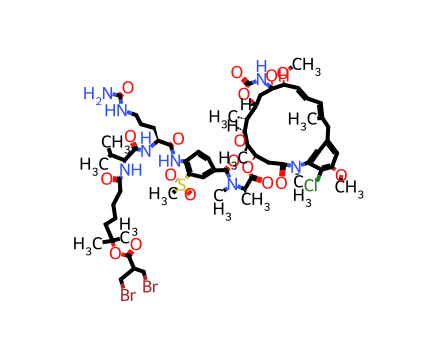 COc1cc2cc(c1Cl)N(C)C(=O)C[C@H](OC(=O)[C@H](C)N(C)C(=O)c1ccc(NC(=O)[C@H](CCCNC(N)=O)NC(=O)[C@@H](NC(=O)CCCCC(C)(C)OC(=O)C(CBr)CBr)C(C)C)c(S(C)(=O)=O)c1)[C@]1(C)O[C@H]1[C@H](C)[C@@H]1C[C@@](O)(NC(=O)O1)[C@H](OC)/C=C/C=C(\C)C2